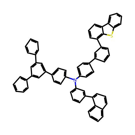 c1ccc(-c2cc(-c3ccccc3)cc(-c3ccc(N(c4ccc(-c5cccc(-c6cccc7c6sc6ccccc67)c5)cc4)c4cccc(-c5cccc6ccccc56)c4)cc3)c2)cc1